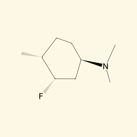 C[C@@H]1CC[C@@H](N(C)C)C[C@@H]1F